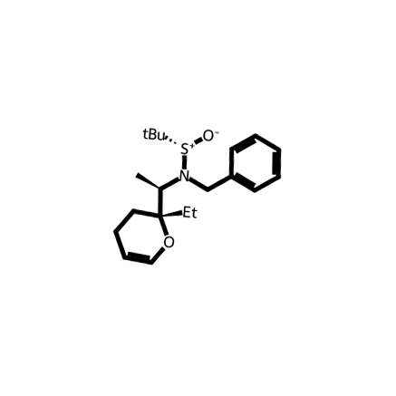 CC[C@]1([C@@H](C)N(Cc2ccccc2)[S@@+]([O-])C(C)(C)C)CCC=CO1